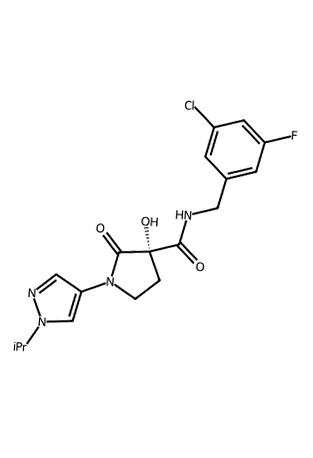 CC(C)n1cc(N2CC[C@](O)(C(=O)NCc3cc(F)cc(Cl)c3)C2=O)cn1